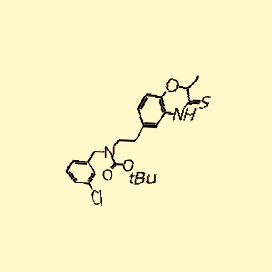 CC1Oc2ccc(CCN(Cc3cccc(Cl)c3)C(=O)OC(C)(C)C)cc2NC1=S